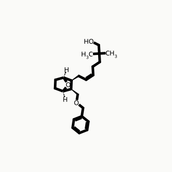 CC(C)(CO)CC/C=C\C[C@H]1[C@@H](COCc2ccccc2)[C@H]2CC[C@@H]1O2